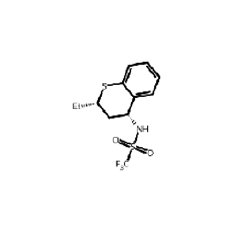 CC[C@H]1C[C@@H](NS(=O)(=O)C(F)(F)F)c2ccccc2S1